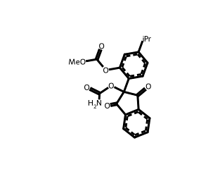 COC(=O)Oc1cc(C(C)C)ccc1C1(OC(N)=O)C(=O)c2ccccc2C1=O